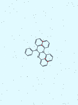 c1ccc(N=C(N(c2ccccc2)c2ccccc2)N(c2ccccc2)c2ccccc2)cc1